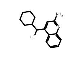 Nc1cc(C(O)C2CCCCC2)c2ccccc2n1